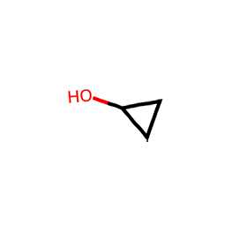 OC1[CH]C1